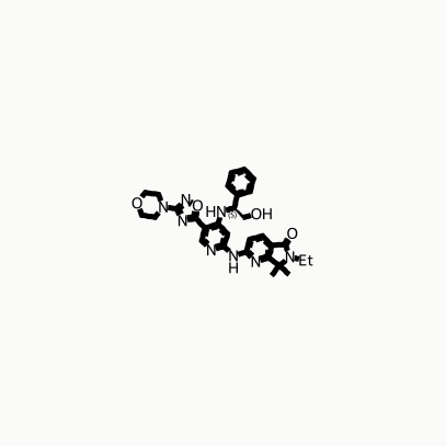 CCN1C(=O)c2ccc(Nc3cc(N[C@H](CO)c4ccccc4)c(-c4nc(N5CCOCC5)no4)cn3)nc2C1(C)C